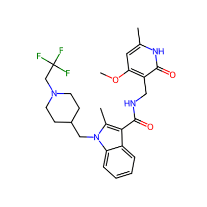 COc1cc(C)[nH]c(=O)c1CNC(=O)c1c(C)n(CC2CCN(CC(F)(F)F)CC2)c2ccccc12